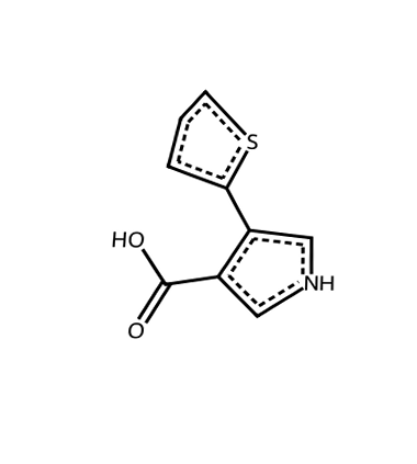 O=C(O)c1c[nH]cc1-c1cccs1